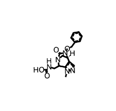 Cn1ncc2c1C(CNC(=O)O)N1C[C@H]2N(OCc2ccccc2)C1=O